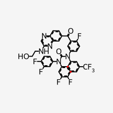 O=C(c1ccc2ncc(NCCO)nc2c1)c1cc(N(C(=O)N(c2ccc(F)c(F)c2)c2ccc(F)c(F)c2)c2cccc(C(F)(F)F)c2)ccc1F